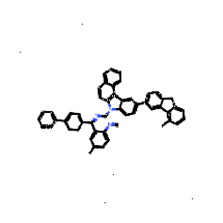 C=NC1=CCC(C)C=C1/C(=N\Cn1c2ccc(-c3ccc4c(c3)-c3c(C)cccc3C4)cc2c2c3ccccc3ccc21)C1=CC=C(c2ccccc2)CC1